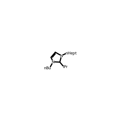 CCCCCCCN1C=CN(CCCC)C1C(C)C